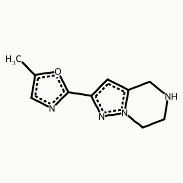 Cc1cnc(-c2cc3n(n2)CCNC3)o1